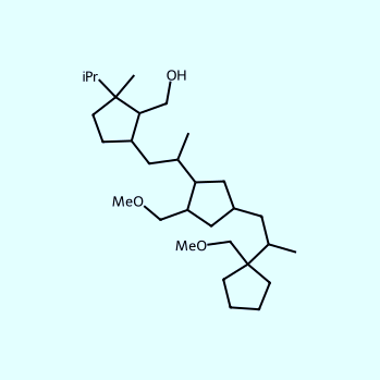 COCC1CC(CC(C)C2(COC)CCCC2)CC1C(C)CC1CCC(C)(C(C)C)C1CO